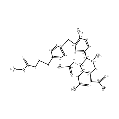 COC(=O)CCCc1ccc(Cc2cc([C@@H]3[C@@H](CC(=O)O)[C@H](CC(=O)O)[C@H](CC(=O)O)C[SH]3C)ccc2C)cc1